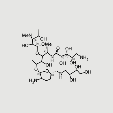 CN[C@@H](C(C)O)C(O)[C@H](OC)OC(C(O)C(C)O[C@H]1O[C@H](CNCC(O)C(O)CO)CCC1N)[C@@H](C)NC(=O)[C@@H](O)[C@@H](O)[C@@H](O)CN